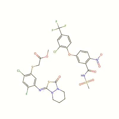 COC(=O)CSc1cc(/N=c2\sc(=O)n3n2CCCC3)c(F)cc1Cl.CS(=O)(=O)NC(=O)c1cc(Oc2ccc(C(F)(F)F)cc2Cl)ccc1[N+](=O)[O-]